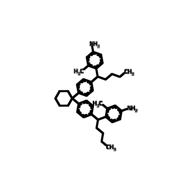 CCCCC(c1ccc(C2(c3ccc(C(CCCC)c4ccc(N)cc4C)cc3)CCCCC2)cc1)c1ccc(N)cc1C